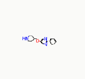 C1=CCCC(c2ncc(OCC3CCNCC3)cn2)=C1